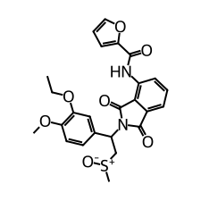 CCOc1cc(C(C[S+](C)[O-])N2C(=O)c3cccc(NC(=O)c4ccco4)c3C2=O)ccc1OC